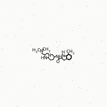 Cc1cccc2c1NC(C(=O)NC1CCC3NC(CN(C)C)CN3C1)C2